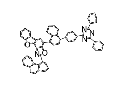 c1ccc(-c2nc(-c3ccccc3)nc(-c3ccc(-c4ccc(-c5cc6c7ccccc7oc6c6nc(-c7cccc8ccc9ccccc9c78)oc56)c5ccccc45)cc3)n2)cc1